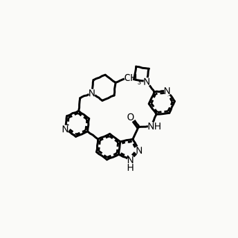 CC1CCN(Cc2cncc(-c3ccc4[nH]nc(C(=O)Nc5ccnc(N6CCC6)c5)c4c3)c2)CC1